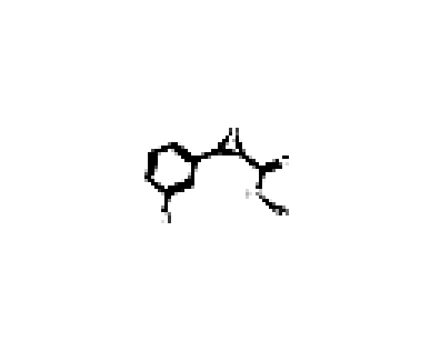 CC(C)NC(=O)C1OC1c1cccc(Cl)c1